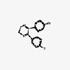 Brc1ccc(C2=NCCN=C2c2ccc(Br)cc2)cc1